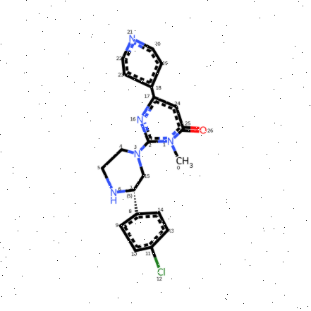 Cn1c(N2CCN[C@@H](c3ccc(Cl)cc3)C2)nc(-c2ccncc2)cc1=O